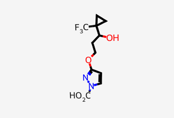 O=C(O)n1ccc(OCCC(O)C2(C(F)(F)F)CC2)n1